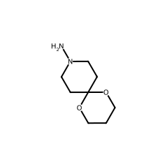 NN1CCC2(CC1)OCCCO2